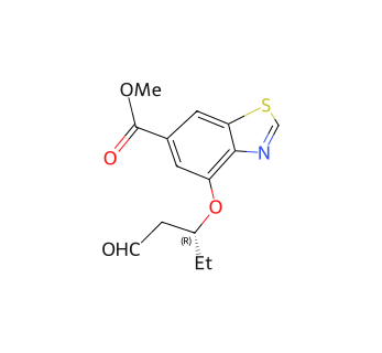 CC[C@H](CC=O)Oc1cc(C(=O)OC)cc2scnc12